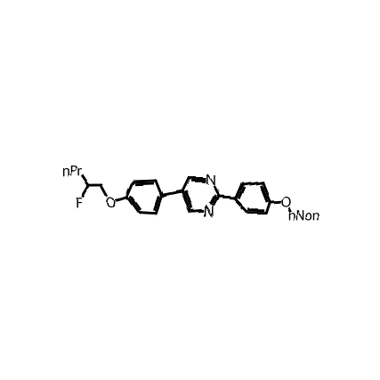 CCCCCCCCCOc1ccc(-c2ncc(-c3ccc(OCC(F)CCC)cc3)cn2)cc1